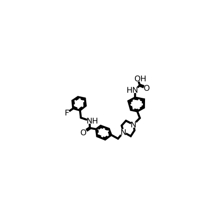 O=C(O)Nc1ccc(CN2CCN(Cc3ccc(C(=O)NCc4ccccc4F)cc3)CC2)cc1